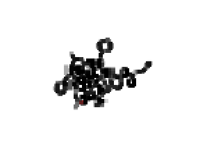 C#CCCC(=O)Oc1ccc(C[N+]2(CC(=O)NC(CCc3ccccc3)C(=O)NC(CC(C)C)C(=O)NC(Cc3ccccc3)C(=O)NC(CC(C)C)C(=O)[C@@]3(C)CO3)CCOCC2)cc1.[Br-]